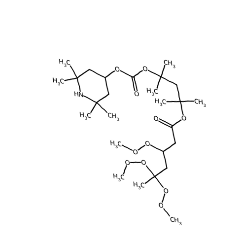 COOC(CC(=O)OC(C)(C)CC(C)(C)OC(=O)OC1CC(C)(C)NC(C)(C)C1)CC(C)(OOC)OOC